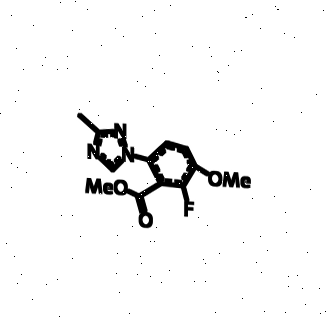 COC(=O)c1c(-n2cnc(C)n2)ccc(OC)c1F